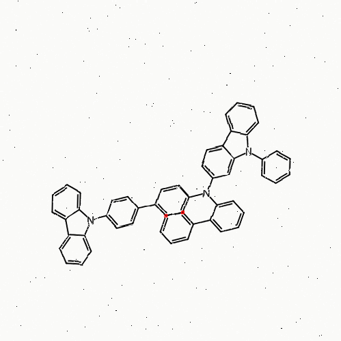 c1ccc(-c2ccccc2N(c2ccc(-c3ccc(-n4c5ccccc5c5ccccc54)cc3)cc2)c2ccc3c4ccccc4n(-c4ccccc4)c3c2)cc1